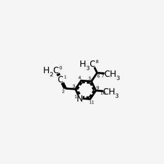 C=C=Cc1cc(C(C)C)c(C)cn1